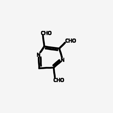 O=Cc1cnc(C=O)c(C=O)n1